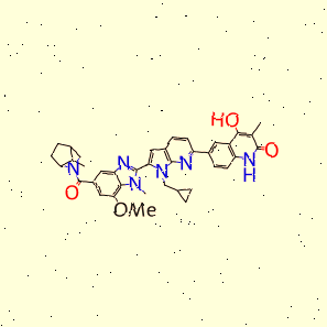 COc1cc(C(=O)N2CC3CCC2C3C)cc2nc(-c3cc4ccc(-c5ccc6[nH]c(=O)c(C)c(O)c6c5)nc4n3CC3CC3)n(C)c12